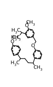 COc1ccc(C(C)CCC(C)c2cccc(OCc3ccc(OC)c(C(C)C)c3)c2)cc1